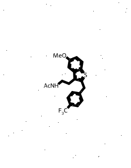 COc1ccc2sc(Cc3ccc(C(F)(F)F)cc3)c(CCNC(C)=O)c2c1